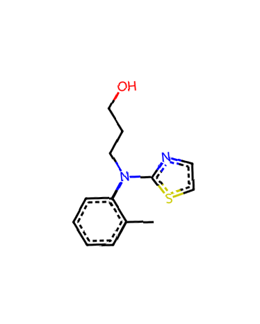 Cc1ccccc1N(CCCO)c1nccs1